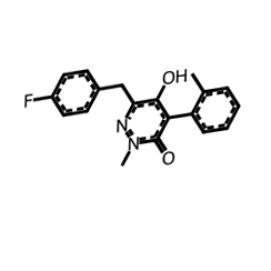 Cc1ccccc1-c1c(O)c(Cc2ccc(F)cc2)nn(C)c1=O